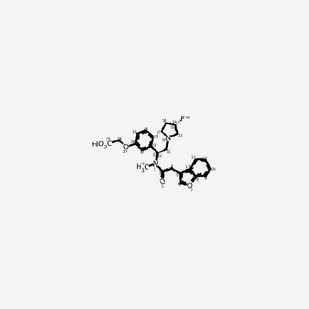 CN(C(=O)Cc1coc2ccccc12)[C@H](CN1CC[C@H](F)C1)c1cccc(OCC(=O)O)c1